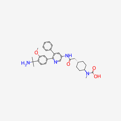 COc1cc(-c2ncc(NC(=O)C[C@H]3CC[C@H](N(C)C(=O)O)CC3)cc2-c2ccccc2)ccc1C(C)(C)N